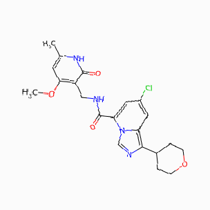 COc1cc(C)[nH]c(=O)c1CNC(=O)c1cc(Cl)cc2c(C3CCOCC3)ncn12